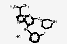 CC(C)c1cnc2c(Nc3cccc(F)c3)cc(O[C@H]3CCCNC3)nn12.Cl